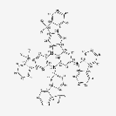 CC1(C)c2ccccc2-c2cc(N3c4cc5c(cc4B4c6cc7c(cc6-c6cc(-n8c9ccccc9c9ccccc98)cc3c64)-c3ccccc3C7(C)C)C(C)(C)c3ccccc3-5)ccc21